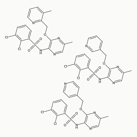 Cc1cnc(NS(=O)(=O)c2cccc(Cl)c2Cl)c(OCc2cccnc2)n1.Cc1cnc(NS(=O)(=O)c2cccc(Cl)c2Cl)c(OCc2ccncc2)n1.Cc1cnc(NS(=O)(=O)c2cccc(Cl)c2Cl)c(OCc2ncccc2C)n1